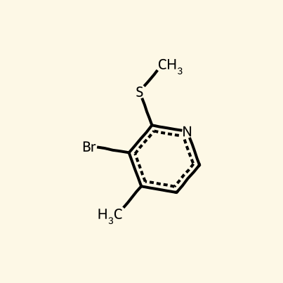 CSc1nccc(C)c1Br